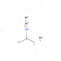 CC(C)[N-2].[H+].[H+].[H+]